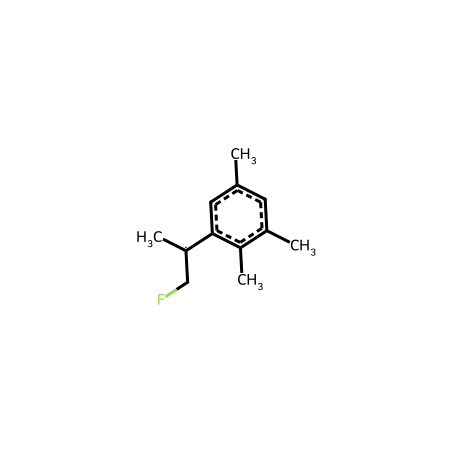 C[C](CF)c1cc(C)cc(C)c1C